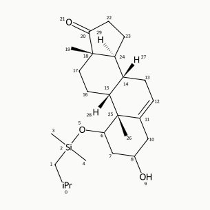 CC(C)C[Si](C)(C)OC1CC(O)CC2=CC[C@@H]3[C@@H](CC[C@]4(C)C(=O)CC[C@@H]34)[C@]21C